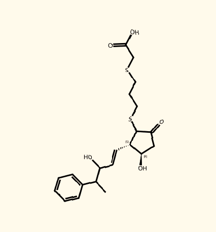 CC(c1ccccc1)C(O)C=C[C@@H]1C(SCCCSCC(=O)O)C(=O)C[C@H]1O